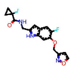 O=C(NCc1cc2cc(F)c(OCc3ccon3)cc2[nH]1)C1(F)CC1